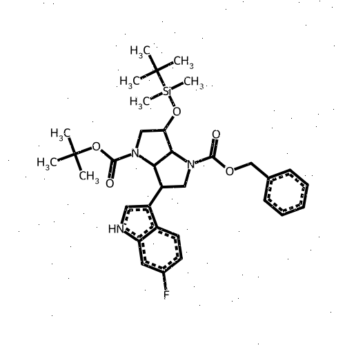 CC(C)(C)OC(=O)N1CC(O[Si](C)(C)C(C)(C)C)C2C1C(c1c[nH]c3cc(F)ccc13)CN2C(=O)OCc1ccccc1